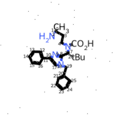 CC(N)CCN(C(=O)O)[C@@H](c1nc(-c2ccccc2)cn1Cc1ccccc1)C(C)(C)C